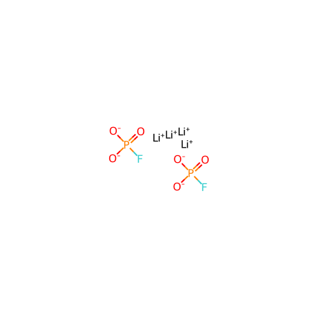 O=P([O-])([O-])F.O=P([O-])([O-])F.[Li+].[Li+].[Li+].[Li+]